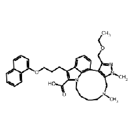 CCOCc1nn(C)c2c1-c1cccc3c(CCCOc4cccc5ccccc45)c(C(=O)O)n(c13)CCCCN(C)C2